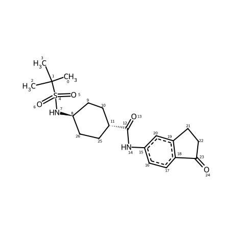 CC(C)(C)S(=O)(=O)N[C@H]1CC[C@H](C(=O)Nc2ccc3c(c2)CCC3=O)CC1